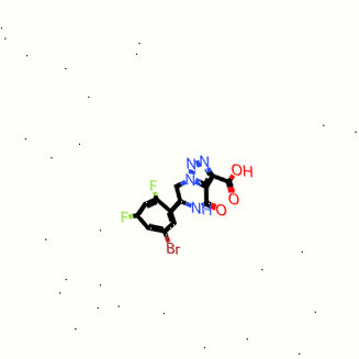 O=C(O)c1nnn2c1C(=O)NC(C1=CC(Br)=CC(F)C=C1F)C2